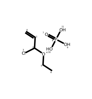 C=CC(Cl)OCC.O=P(O)(O)O